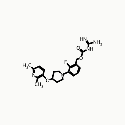 Cc1ccc(OC2CCN(c3cccc(COC(=O)NC(=N)N)c3F)CC2)c(C)n1